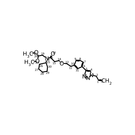 C=CCn1cc(-c2cccc(CCOCCC(=O)N(CC(OC)OC)C3CCCCC3)c2)nn1